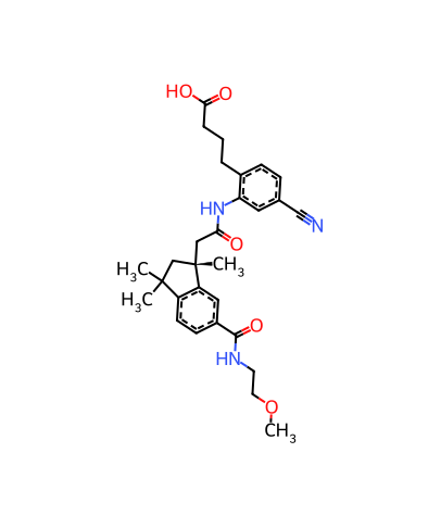 COCCNC(=O)c1ccc2c(c1)[C@@](C)(CC(=O)Nc1cc(C#N)ccc1CCCC(=O)O)CC2(C)C